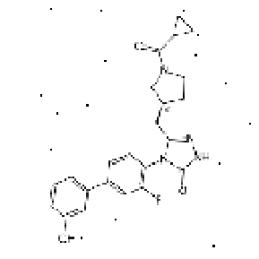 O=C(C1CC1)N1CC[C@@H](Cc2n[nH]c(=O)n2-c2ccc(-c3cccc(O)c3)cc2F)C1